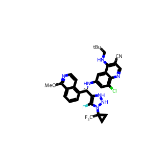 COc1nccc2c([C@H](Nc3cc(Cl)c4ncc(C#N)c(NCC(C)(C)C)c4c3)C3=C(F)N(C4(C(F)(F)F)CC4)NN3)cccc12